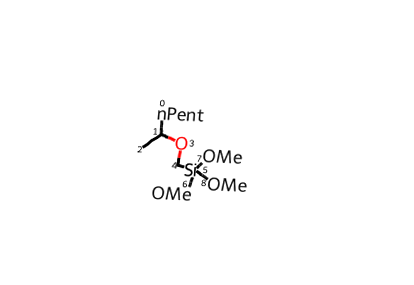 CCCCCC(C)OC[Si](OC)(OC)OC